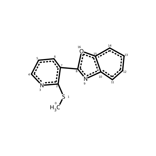 CSc1ncccc1-c1nc2ccccc2o1